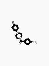 Nc1ccc(C(=O)N2CCN(c3ccc(F)cc3)CC2)cc1